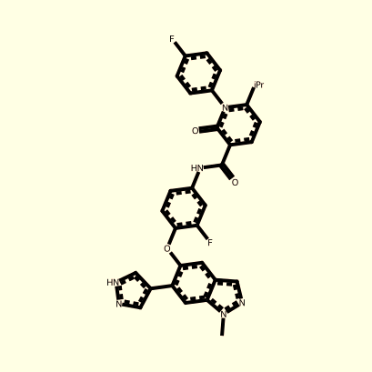 CC(C)c1ccc(C(=O)Nc2ccc(Oc3cc4cnn(C)c4cc3-c3cn[nH]c3)c(F)c2)c(=O)n1-c1ccc(F)cc1